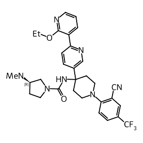 CCOc1ncccc1-c1ccc(C2(NC(=O)N3CC[C@@H](NC)C3)CCN(c3ccc(C(F)(F)F)cc3C#N)CC2)cn1